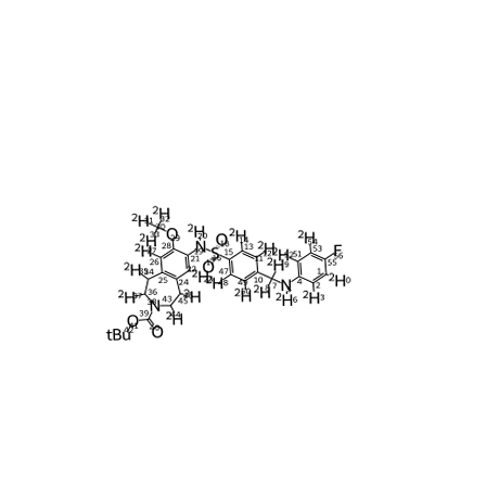 [2H]c1c([2H])c(N([2H])C([2H])([2H])c2c([2H])c([2H])c(S(=O)(=O)N([2H])c3c([2H])c4c(c([2H])c3OC([2H])([2H])[2H])C([2H])C([2H])N(C(=O)OC(C)(C)C)C([2H])C4[2H])c([2H])c2[2H])c([2H])c([2H])c1F